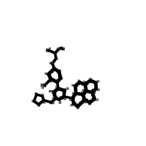 CCCCC(CC)COc1ccc(-c2nc(SC3CCCC3)nc(-c3ccc4ccc5cccc6ccc3c4c56)n2)c(O)c1